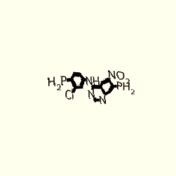 O=[N+]([O-])c1cc2c(Nc3ccc(P)c(Cl)c3)ncnc2cc1P